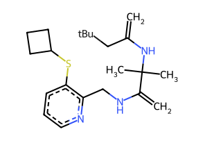 C=C(CC(C)(C)C)NC(C)(C)C(=C)NCc1ncccc1SC1CCC1